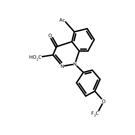 CC(=O)c1cccc2c1c(=O)c(C(=O)O)nn2-c1ccc(OC(F)(F)F)cc1